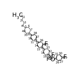 CCCCCC1CCC(c2ccc(-c3ccc(C4CCC(C(F)(F)Oc5ccc(F)cc5)CC4)c(F)c3)cc2)CC1